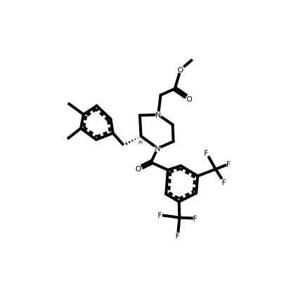 COC(=O)CN1CCN(C(=O)c2cc(C(F)(F)F)cc(C(F)(F)F)c2)[C@H](Cc2ccc(C)c(C)c2)C1